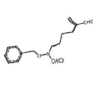 C=C(C=O)CCCCN(C=O)OCc1ccccc1